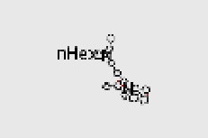 CCCCCCc1ccc2c(c1)c1cc(C3CCCCC3)ccc1n2-c1ccc(-c2ccc(-c3ccc(N(c4ccc5c(c4)C4(c6ccccc6-c6ccccc64)c4ccccc4-5)c4ccccc4-c4cccc(-c5ccccc5)c4)cc3)cc2)cc1